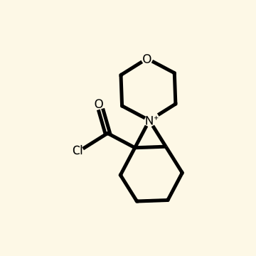 O=C(Cl)C12CCCCC1[N+]21CCOCC1